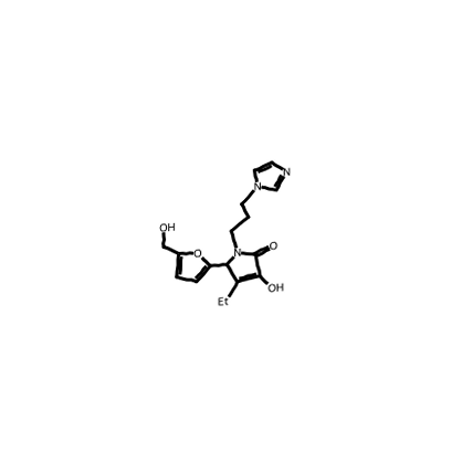 CCC1=C(O)C(=O)N(CCCn2ccnc2)C1c1ccc(CO)o1